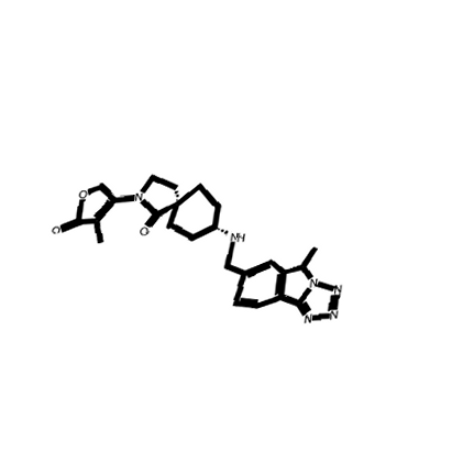 CC1=C(N2CC[C@]3(CC[C@@H](NCc4ccc5c(c4)C(C)n4nnnc4-5)CC3)C2=O)COC1=O